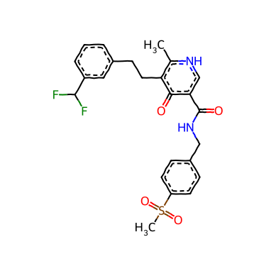 Cc1[nH]cc(C(=O)NCc2ccc(S(C)(=O)=O)cc2)c(=O)c1CCc1cccc(C(F)F)c1